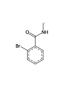 [CH2]NC(=O)c1ccccc1Br